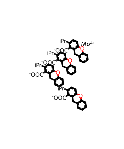 CC(C)c1ccc2c(c1C(=O)[O-])Cc1ccccc1O2.CC(C)c1ccc2c(c1C(=O)[O-])Cc1ccccc1O2.CC(C)c1ccc2c(c1C(=O)[O-])Cc1ccccc1O2.CC(C)c1ccc2c(c1C(=O)[O-])Cc1ccccc1O2.[Mo+4]